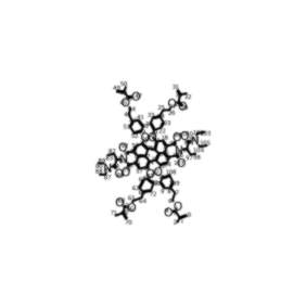 C=C(C)C(=O)OCCc1ccc(Oc2cc3c4c(cc(Oc5ccc(CCOC(=O)C(=C)C)cc5)c5c6c(Oc7ccc(CCOC(=O)C(=C)C)cc7)cc7c8c(cc(Oc9ccc(CCOC(=O)C(=C)C)cc9)c(c2c45)c86)C(=O)N(C(CC)C(=O)N(CC)CC)C7=O)C(=O)N(C(CC)C(=O)N(CC)CC)C3=O)cc1